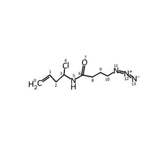 C=CCC(Cl)NC(=O)CCCN=[N+]=[N-]